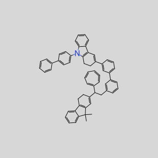 CC1(C)C2=C(CCC(C(Cc3cccc(-c4cccc(C5=Cc6c(n(-c7ccc(-c8ccccc8)cc7)c7ccccc67)CC5)c4)c3)C3=CC=CC=C=C3)=C2)c2ccccc21